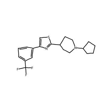 FC(F)(F)c1cccc(-c2csc(C3CCN(C4CCCC4)CC3)n2)c1